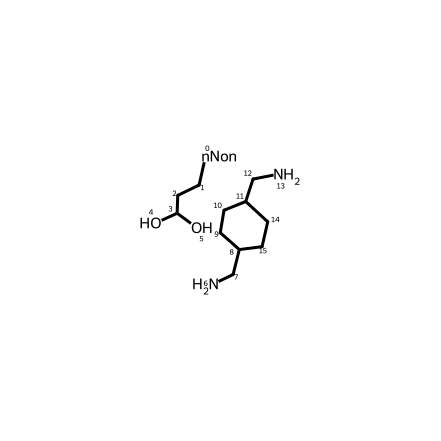 CCCCCCCCCCCC(O)O.NCC1CCC(CN)CC1